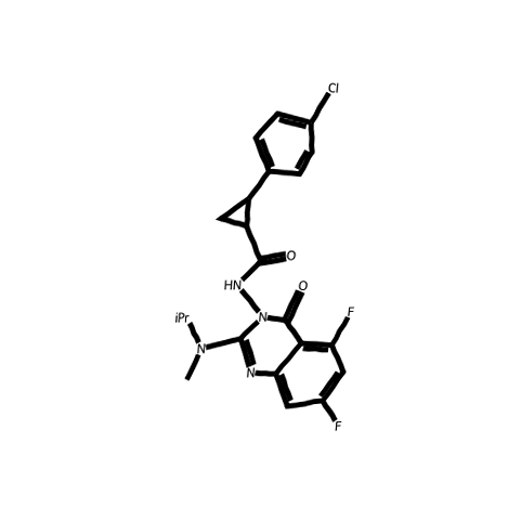 CC(C)N(C)c1nc2cc(F)cc(F)c2c(=O)n1NC(=O)C1CC1c1ccc(Cl)cc1